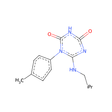 Cc1ccc(-n2c(NCC(C)C)nc(=O)[nH]c2=O)cc1